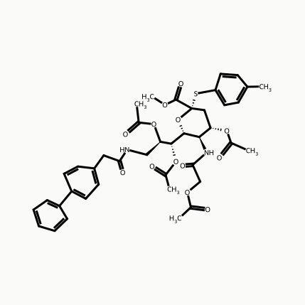 COC(=O)[C@@]1(Sc2ccc(C)cc2)C[C@H](OC(C)=O)[C@@H](NC(=O)COC(C)=O)[C@H]([C@H](OC(C)=O)[C@@H](CNC(=O)Cc2ccc(-c3ccccc3)cc2)OC(C)=O)O1